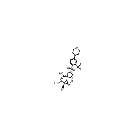 CO[C@H]1C[C@@H](S(=O)(=O)c2ccc(N3CCOCC3)cc2C(F)(F)F)C[C@]1(C(=O)O)C1CC1(C#N)C(N)=O